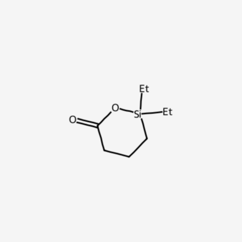 CC[Si]1(CC)CCCC(=O)O1